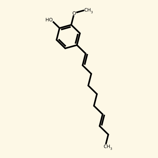 CCC=CCCCCC=Cc1ccc(O)c(OC)c1